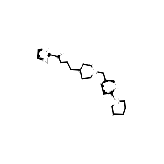 O=C(CCCC1CCN(Cc2ccc(N3CCCCC3)nc2)CC1)c1ncco1